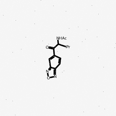 CC(=O)NC(C(=O)c1ccc2nonc2c1)C(C)C